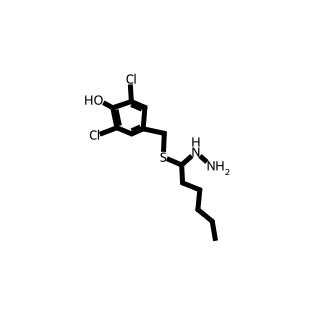 CCCCCC(NN)SCc1cc(Cl)c(O)c(Cl)c1